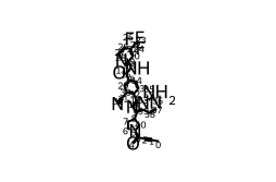 CC#CC(=O)N1CCC(c2nc(-c3ccc(C(=O)Nc4cc(C(F)(F)F)ccn4)cc3C#N)n3c(N)nccc23)C1